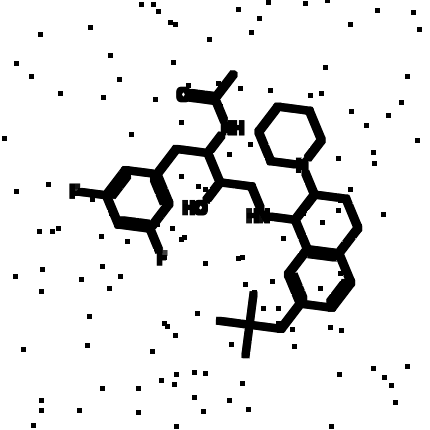 CC(=O)NC(Cc1cc(F)cc(F)c1)C(O)CNC1c2cc(CC(C)(C)C)ccc2CCC1N1CCCCC1